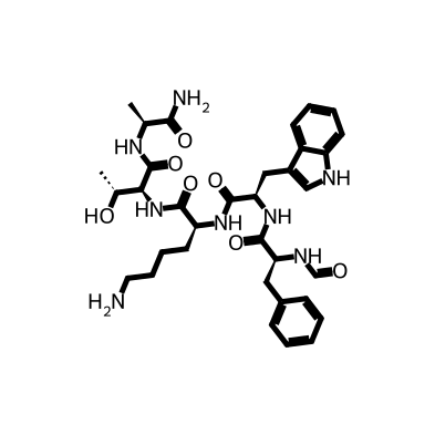 C[C@H](NC(=O)[C@@H](NC(=O)[C@H](CCCCN)NC(=O)[C@@H](Cc1c[nH]c2ccccc12)NC(=O)[C@H](Cc1ccccc1)NC=O)[C@@H](C)O)C(N)=O